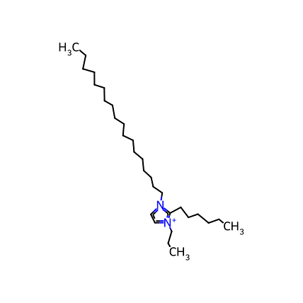 CCCCCCCCCCCCCCCCCCn1cc[n+](CCC)c1CCCCCC